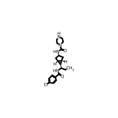 CCC(NC(=O)c1ccc(Cl)cc1)[C@H]1[C@@H]2C[C@@H](NC(=O)N3CCNCC3)C[C@@H]21